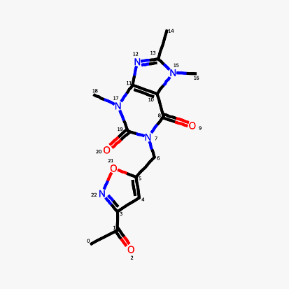 CC(=O)c1cc(Cn2c(=O)c3c(nc(C)n3C)n(C)c2=O)on1